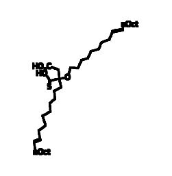 CCCCCCCCC=CCCCCCCCCOC(CCCCCCCCC=CCCCCCCCC)(CC(=O)O)C(O)=S